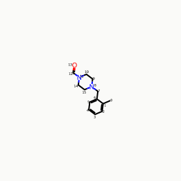 Cc1ccccc1CN1CCN([C]=O)CC1